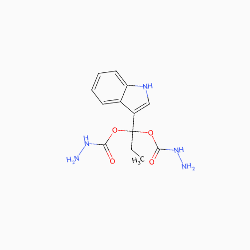 CCC(OC(=O)NN)(OC(=O)NN)c1c[nH]c2ccccc12